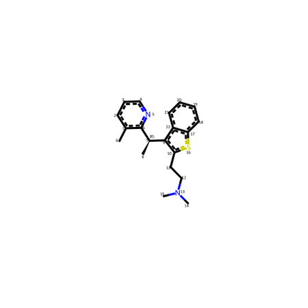 Cc1cccnc1[C@H](C)c1c(CCN(C)C)sc2ccccc12